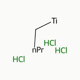 CCC[CH2][Ti].Cl.Cl.Cl